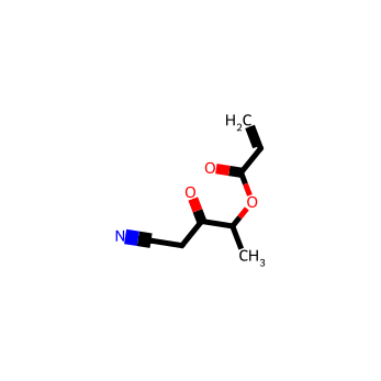 C=CC(=O)OC(C)C(=O)CC#N